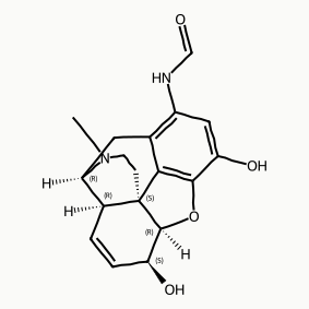 CN1CC[C@]23c4c5c(NC=O)cc(O)c4O[C@H]2[C@@H](O)C=C[C@H]3[C@H]1C5